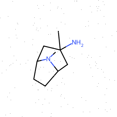 CN1C2CCC1CC(C)(N)C2